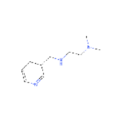 CN(C)CCNCC1C=NC=CC1